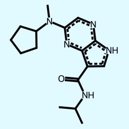 CC(C)NC(=O)c1c[nH]c2ncc(N(C)C3CCCC3)nc12